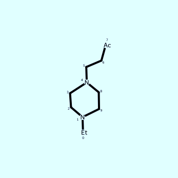 CCN1CCN(CCC(C)=O)CC1